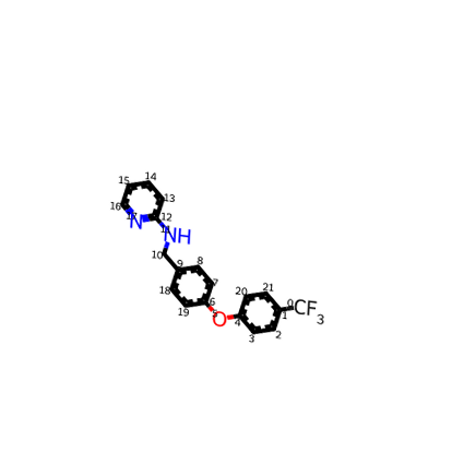 FC(F)(F)c1ccc(Oc2ccc(CNc3ccccn3)cc2)cc1